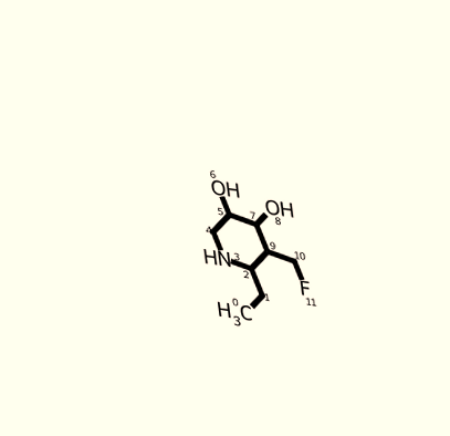 CCC1NCC(O)C(O)C1CF